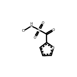 O=C(c1cccs1)S(=O)(=O)NCl